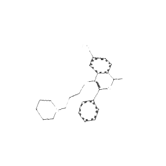 Nc1ccc2c(c1)C(OCCCN1CCCCC1)=C(c1ccccc1)NC2C=O